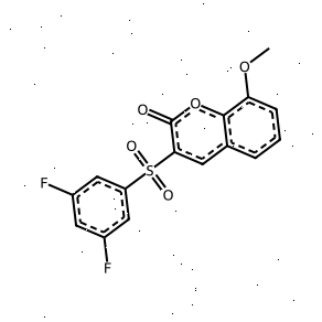 COc1cccc2cc(S(=O)(=O)c3cc(F)cc(F)c3)c(=O)oc12